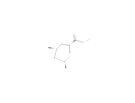 [2H]OC(=O)[C@H]1O[C@@H](O)[C@H](O)[C@@H](O)[C@@H]1O